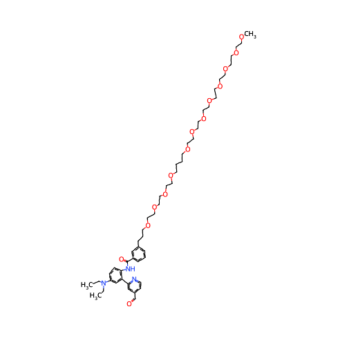 CCN(CC)c1ccc(NC(=O)c2cccc(CCCOCCOCCOCCOCCCCOCCOCCOCCOCCOCCOCCOCCOC)c2)c(-c2cc(C=O)ccn2)c1